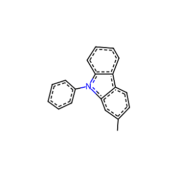 Cc1ccc2c3ccccc3n(-c3ccccc3)c2c1